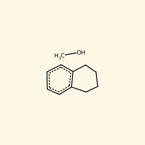 CO.c1ccc2c(c1)CCCC2